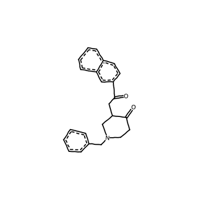 O=C(CC1CN(Cc2ccccc2)CCC1=O)c1ccc2ccccc2c1